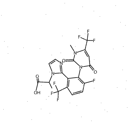 CC(C(=O)O)n1ccnc1-c1c(C(F)(F)F)ccc(F)c1-n1c(=O)cc(C(F)(F)F)n(C)c1=O